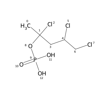 CC(Cl)(CC(Cl)CCl)OP(=O)(O)O